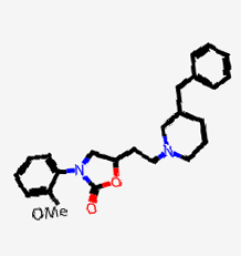 COc1ccccc1N1CC(CCN2CCCC(Cc3ccccc3)C2)OC1=O